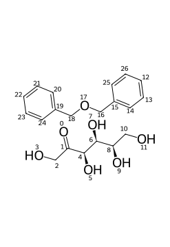 O=C(CO)[C@H](O)[C@@H](O)[C@H](O)CO.c1ccc(COCc2ccccc2)cc1